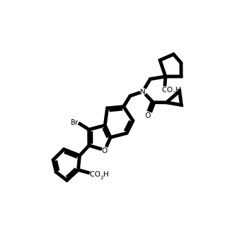 O=C(O)c1ccccc1-c1oc2ccc(CN(CC3(C(=O)O)CCCC3)C(=O)C3CC3)cc2c1Br